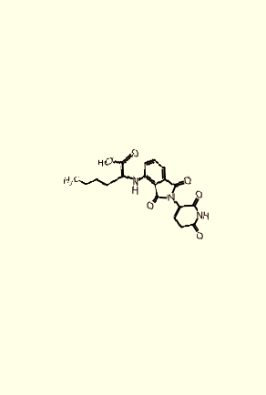 CCCCC(Nc1cccc2c1C(=O)N(C1CCC(=O)NC1=O)C2=O)C(=O)O